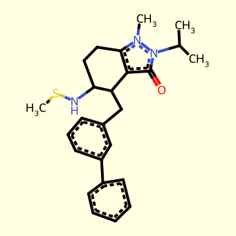 CSNC1CCc2c(c(=O)n(C(C)C)n2C)C1Cc1cccc(-c2ccccc2)c1